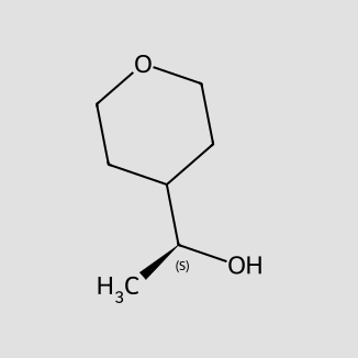 C[C@H](O)C1CCOCC1